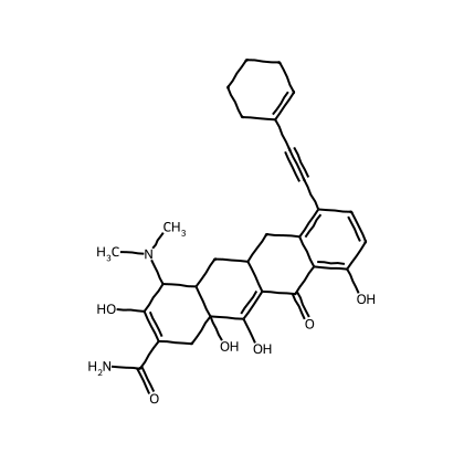 CN(C)C1C(O)=C(C(N)=O)CC2(O)C(O)=C3C(=O)c4c(O)ccc(C#CC5=CCCCC5)c4CC3CC12